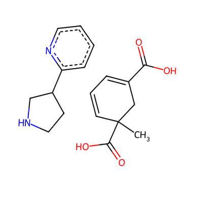 CC1(C(=O)O)C=CC=C(C(=O)O)C1.c1ccc(C2CCNC2)nc1